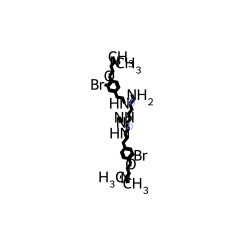 CN(C)CCOc1ccc(CCN/C=C(/CCC/C(=C/N)NCCc2ccc(OCCN(C)C)c(Br)c2)N=N)cc1Br